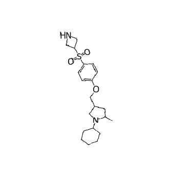 CC1CC(COc2ccc(S(=O)(=O)C3CNC3)cc2)CN1C1CCCCC1